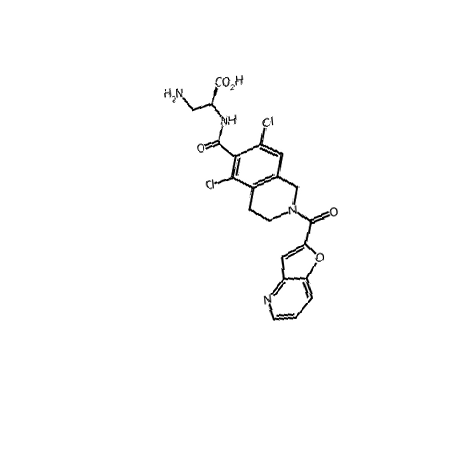 NC[C@H](NC(=O)c1c(Cl)cc2c(c1Cl)CCN(C(=O)c1cc3ncccc3o1)C2)C(=O)O